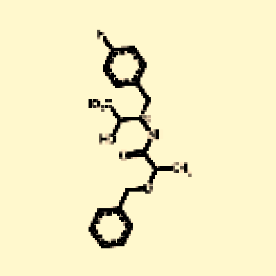 CC(OCc1ccccc1)C(=O)N[C@H](Cc1ccc(F)cc1)C(O)C(=O)O